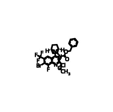 COCCN(C(=O)OCc1ccccc1)C1C[C@H]2CC[C@@H]1N2c1nc(Cl)nc2c(F)c(Br)c(C(F)(F)F)cc12